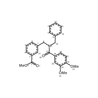 COC(=O)c1cccc(CN(Cc2ccccc2)C(=O)c2ccc(OC)c(OC)c2)c1